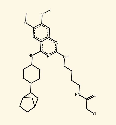 COc1cc2nc(NCCCCNC(=O)CCl)nc(NC3CCN(C4CC5CCC4C5)CC3)c2cc1OC